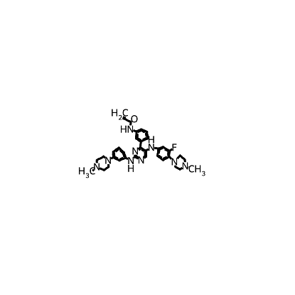 C=CC(=O)Nc1cccc(-c2nc(Nc3cccc(N4CCN(C)CC4)c3)ncc2Nc2ccc(N3CCN(C)CC3)c(F)c2)c1